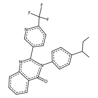 CCC(C)c1ccc(-n2c(-c3ccc(C(F)(F)F)nc3)nc3ccccc3c2=O)cc1